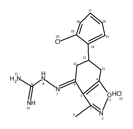 Cc1noc2c1C(=NNC(=N)N)CC(c1ccccc1Cl)C2.Cl